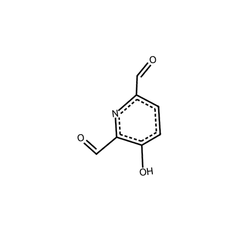 O=Cc1ccc(O)c(C=O)n1